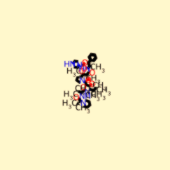 CC[C@H](C)[C@@H](C(CC(=O)N1CCC[C@H]1[C@H](OC)[C@@H](C)C(=O)N[C@H](C)[C@@H](OC(=O)N1CCNCC1)c1ccccc1)OC)N(C)C(=O)[C@@H](NC(=O)[C@H](C(C)C)N1CCCCC1)C(C)C